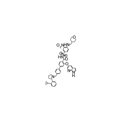 O=C(NS(=O)(=O)c1ccc(NCC2CCOCC2)c([N+](=O)[O-])c1)c1ccc(-c2ccc(CN3CCCC3c3ccccc3C3CC3)cc2)cc1Oc1cnc2[nH]ccc2c1